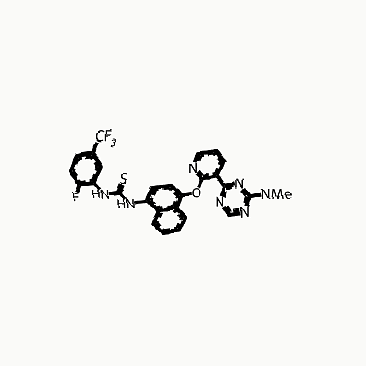 CNc1ncnc(-c2cccnc2Oc2ccc(NC(=S)Nc3cc(C(F)(F)F)ccc3F)c3ccccc23)n1